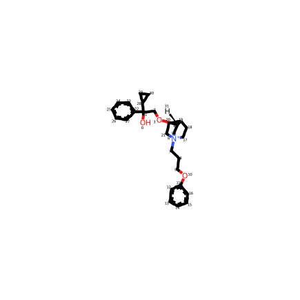 OC(CO[C@H]1C[N+]2(CCCOc3ccccc3)CCC1CC2)(c1ccccc1)C1CC1